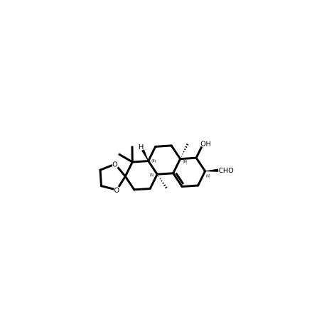 CC1(C)[C@@H]2CC[C@]3(C)C(=CC[C@H](C=O)C3O)[C@@]2(C)CCC12OCCO2